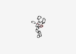 c1ccc(-c2ccc(N(c3ccc4c(c3)oc3ccccc34)c3ccccc3-c3cccc(-c4ccccc4)c3-c3ccccc3-c3ccccc3)cc2)cc1